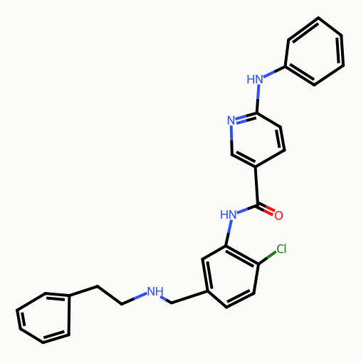 O=C(Nc1cc(CNCCc2ccccc2)ccc1Cl)c1ccc(Nc2ccccc2)nc1